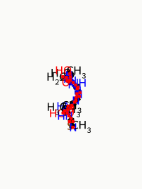 C=CCn1c(=O)c2cnc(Nc3ccc(N4CCN(CC5CCN(C6CCC(C(=O)N[C@H](C(=O)N7CC(O)CC7C(=O)NCc7ccc(-c8scnc8C)cc7)C(C)(C)C)CC6)CC5)CC4)cc3)nc2n1-c1cccc(C(C)(C)O)n1